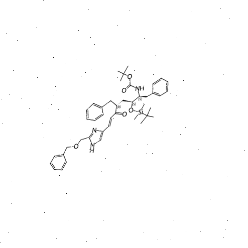 CC(C)(C)OC(=O)N[C@@H](Cc1ccccc1)[C@H](C[C@@H](Cc1ccccc1)C(=O)C=Cc1c[nH]c(COCc2ccccc2)n1)O[Si](C)(C)C(C)(C)C